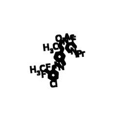 CC(=O)N(C(=O)/C(C)=C/c1ccc2c(cnn2Cc2ccc(Cl)cc2C(C)(F)F)c1)[C@@H]1CCN(C(C)C)C[C@H]1F